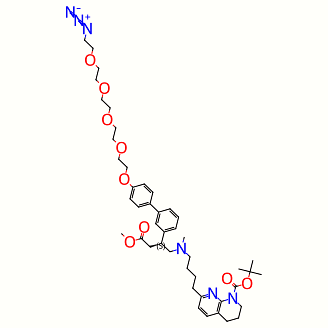 COC(=O)C[C@H](CN(C)CCCCc1ccc2c(n1)N(C(=O)OC(C)(C)C)CCC2)c1cccc(-c2ccc(OCCOCCOCCOCCOCCN=[N+]=[N-])cc2)c1